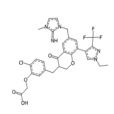 CCn1cc(-c2cc(Cn3ccn(C)c3=N)cc3c2OCC(Cc2ccc(Cl)c(OCC(=O)O)c2)C3=O)c(C(F)(F)F)n1